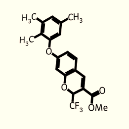 COC(=O)C1=Cc2ccc(Oc3cc(C)cc(C)c3C)cc2OC1C(F)(F)F